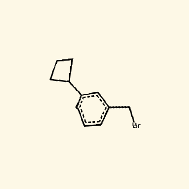 BrCc1cccc(C2CCC2)c1